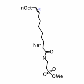 CCCCCCCC/C=C\CCCCCCCC(=O)[N-]CCS(=O)(=O)OC.[Na+]